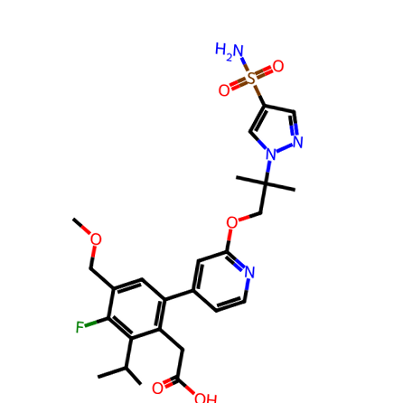 COCc1cc(-c2ccnc(OCC(C)(C)n3cc(S(N)(=O)=O)cn3)c2)c(CC(=O)O)c(C(C)C)c1F